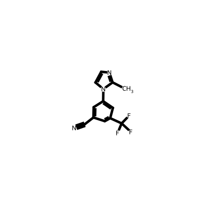 Cc1nccn1-c1cc(C#N)cc(C(F)(F)F)c1